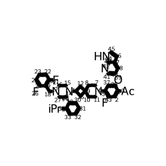 CC(=O)c1cc(F)c(N2CCC3(CC2)CC(N2CCN(Cc4c(F)cccc4F)C[C@H]2c2ccccc2C(C)C)C3)cc1Oc1cnc2[nH]ccc2c1